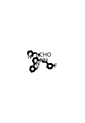 O=CN(Cc1cccnc1)c1ccc(-c2ccccc2F)nc1NCCc1cccc(F)c1